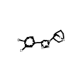 Clc1ccc(-c2cn(C3CN4CCC3CC4)nn2)cc1Cl